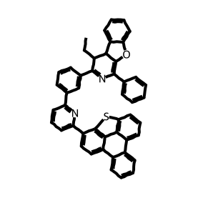 CCC1C(c2cccc(-c3cccc(-c4ccc5c6ccccc6c6cccc7sc4c5c76)n3)c2)=NC(c2ccccc2)=C2Oc3ccccc3C21